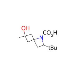 CC1(O)CC2(CC(C(C)(C)C)N2C(=O)O)C1